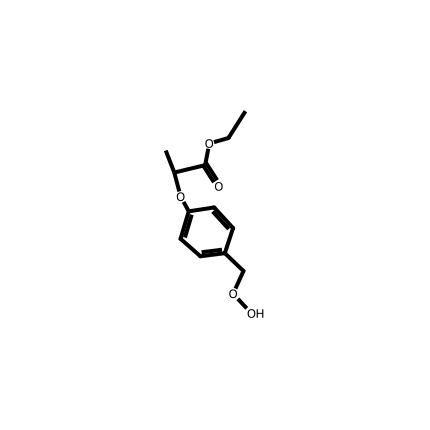 CCOC(=O)C(C)Oc1ccc(COO)cc1